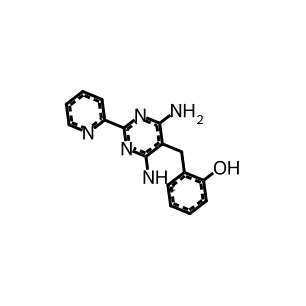 Nc1nc(-c2ccccn2)nc(N)c1Cc1ccccc1O